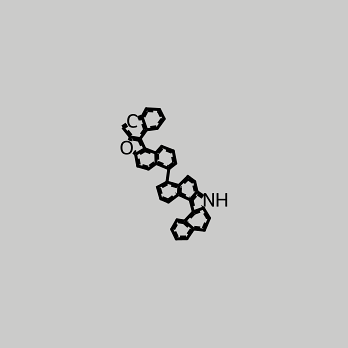 c1ccc2c(c1)ccc1[nH]c3ccc4c(-c5cccc6c5ccc5oc7ccc8ccccc8c7c56)cccc4c3c12